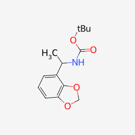 CC(NC(=O)OC(C)(C)C)c1cccc2c1OCO2